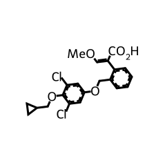 COC=C(C(=O)O)c1ccccc1COc1cc(Cl)c(OCC2CC2)c(Cl)c1